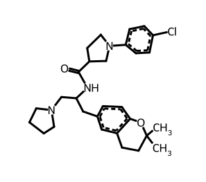 CC1(C)CCc2cc(CC(CN3CCCC3)NC(=O)C3CCN(c4ccc(Cl)cc4)C3)ccc2O1